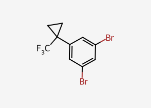 FC(F)(F)C1(c2cc(Br)cc(Br)c2)CC1